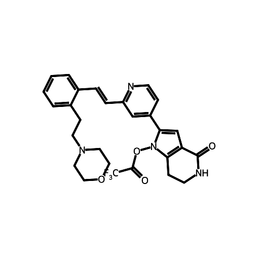 O=C1NCCc2c1cc(-c1ccnc(C=Cc3ccccc3CCN3CCOCC3)c1)n2OC(=O)C(F)(F)F